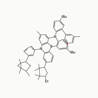 CCC1CC(c2ccc3c(c2)N(c2cccc(C4CC(C)C5(C)CC45C)c2)c2cc(C)cc4c2B3c2cc(C(C)(C)C)ccc2N4c2ccc(C(C)(C)C)cc2-c2cc(C)cc(C)c2)C(C)(C)C1(C)C